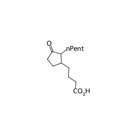 CCCCCC1C(=O)CCC1CCCC(=O)O